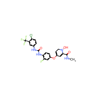 CNC(=O)C1=CC(Oc2ccc(NC(=O)Nc3ccc(Cl)c(C(F)(F)F)c3)c(F)c2)=CCN1O